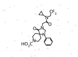 O=C(O)N1CCC2(CC1)C(=O)N(CC(=O)N(CC(F)(F)F)C1CC1)CN2c1ccccc1